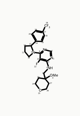 COC1(CNc2ncnc(N3CCCC3c3ccc(C(F)(F)F)cc3)c2F)CCOCC1